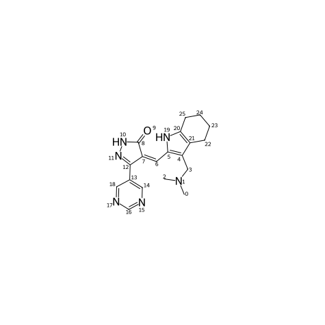 CN(C)Cc1c(C=C2C(=O)NN=C2c2cncnc2)[nH]c2c1CCCC2